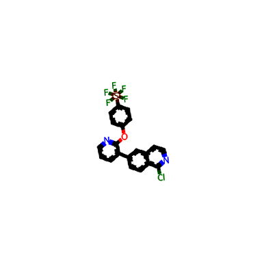 FS(F)(F)(F)(F)c1ccc(Oc2ncccc2-c2ccc3c(Cl)nccc3c2)cc1